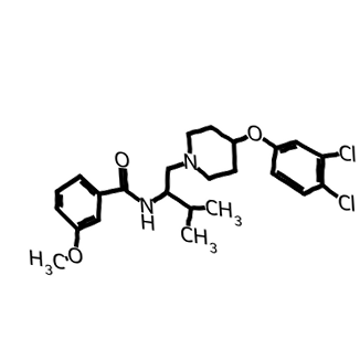 COc1cccc(C(=O)NC(CN2CCC(Oc3ccc(Cl)c(Cl)c3)CC2)C(C)C)c1